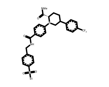 CCS(=O)(=O)c1ccc(CNC(=O)c2ccc(N3CC(c4ccc(C(F)(F)F)cc4)CC[C@H]3C(=O)NC)cc2)cc1